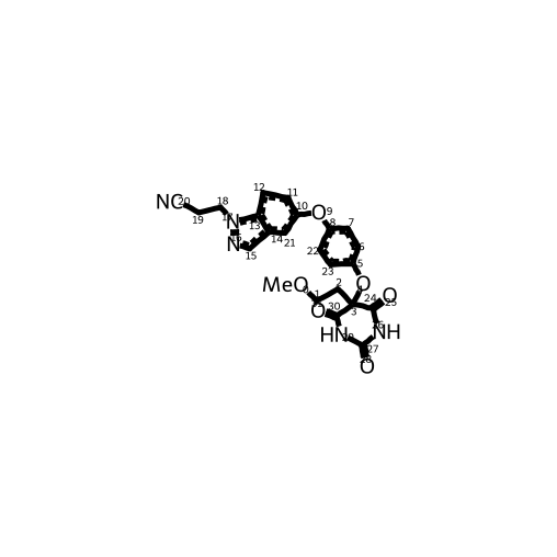 COCCC1(Oc2ccc(Oc3ccc4c(cnn4CCC#N)c3)cc2)C(=O)NC(=O)NC1=O